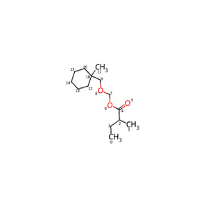 CCC(C)C(=O)OCOCC1(C)CCCCC1